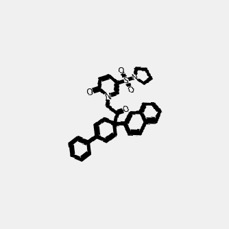 O=C(Cn1cc(S(=O)(=O)N2CCCC2)ccc1=O)C1(c2ccc3ccccc3c2)C=CC(c2ccccc2)=CC1